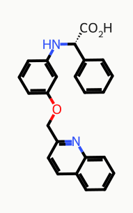 O=C(O)[C@@H](Nc1cccc(OCc2ccc3ccccc3n2)c1)c1ccccc1